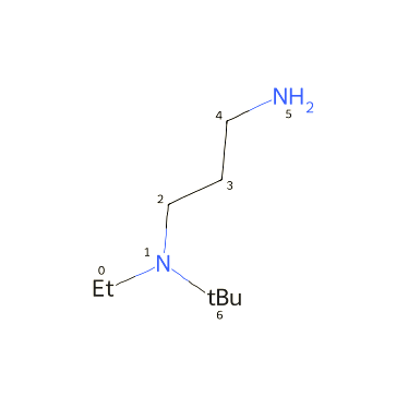 CCN(CCCN)C(C)(C)C